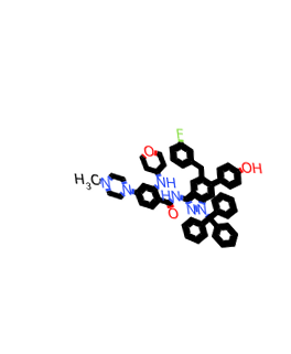 CN1CCN(c2ccc(C(=O)Nc3nn(C(c4ccccc4)(c4ccccc4)c4ccccc4)c4cc(-c5ccc(O)cc5)c(Cc5cccc(F)c5)cc34)c(NC3CCOCC3)c2)CC1